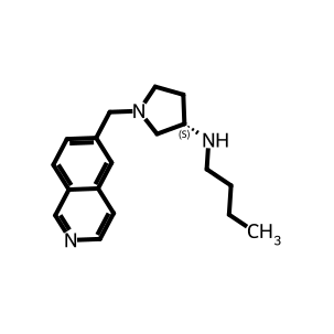 CCCCN[C@H]1CCN(Cc2ccc3cnccc3c2)C1